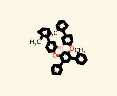 Cc1ccccc1-c1ccc2c(c1)B1c3cc(-c4ccccc4C)ccc3Oc3c(-c4ccccc4C)cc(-c4ccccc4)c(c31)O2